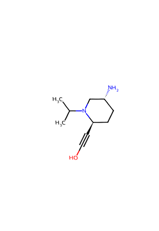 CC(C)N1C[C@H](N)CC[C@H]1C#CO